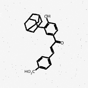 O=C(O)c1ccc(C=CC(=O)c2ccc(O)c(C34CC5CC(CC(C5)C3)C4)c2)cc1